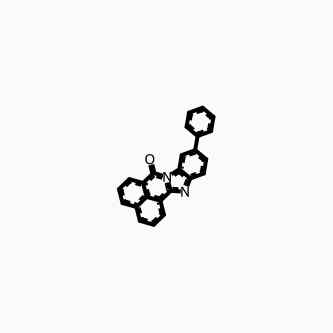 O=c1c2cccc3cccc(c32)c2nc3ccc(-c4ccccc4)cc3n12